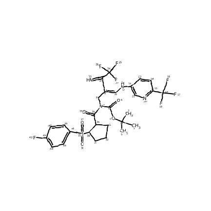 CC(C)(C)OC(=O)N(C/C(=C/Nc1ccc(C(F)(F)F)nc1)C(=N)C(F)(F)F)C(=O)C1CCCC1S(=O)(=O)c1ccc(F)cc1